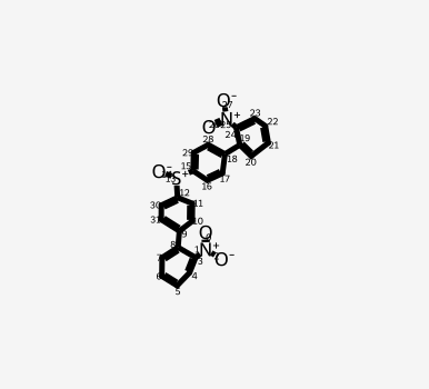 O=[N+]([O-])c1ccccc1-c1ccc([S+]([O-])c2ccc(-c3ccccc3[N+](=O)[O-])cc2)cc1